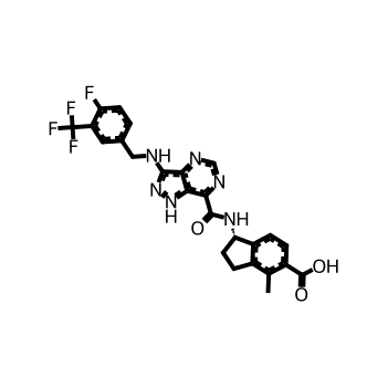 Cc1c(C(=O)O)ccc2c1CC[C@@H]2NC(=O)c1ncnc2c(NCc3ccc(F)c(C(F)(F)F)c3)n[nH]c12